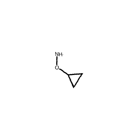 [NH]OC1CC1